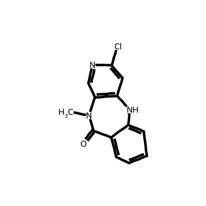 CN1C(=O)c2ccccc2Nc2cc(Cl)ncc21